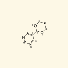 [c]1ncc(C2OC[CH]CO2)cn1